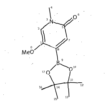 COc1cn(C)c(=O)cc1B1OC(C)(C)C(C)(C)O1